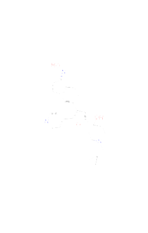 ON=C1CCc2cc(-c3cc(C4(O)CCN(CC5CC5)CC4)oc3-c3ccncc3)ccc21